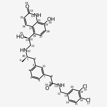 C[C@H](Cc1cccc(CC(=O)NCc2ccc(Cl)c(Cl)c2)c1)NC[C@@H](O)c1ccc(O)c2[nH]c(=O)ccc12